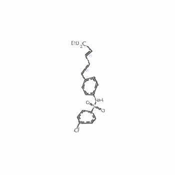 CCOC(=O)/C=C/C=C/c1ccc(NS(=O)(=O)c2ccc(Cl)cc2)cc1